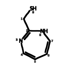 SCC1=NC=CC=CN1